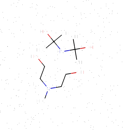 CC(C)(O)NC(C)(C)O.CN(CCO)CCO